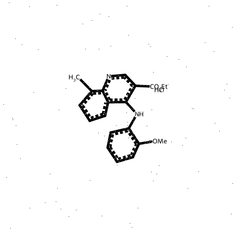 CCOC(=O)c1cnc2c(C)cccc2c1Nc1ccccc1OC.Cl